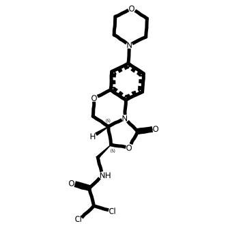 O=C(NC[C@@H]1OC(=O)N2c3ccc(N4CCOCC4)cc3OC[C@@H]12)C(Cl)Cl